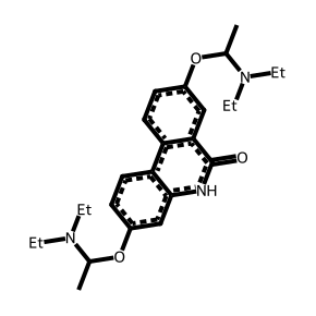 CCN(CC)C(C)Oc1ccc2c(c1)[nH]c(=O)c1cc(OC(C)N(CC)CC)ccc12